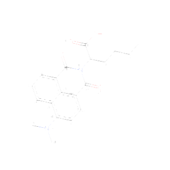 CCCCC(C(=O)O)N1C(=O)c2cccc3c(N(C)C)ccc(c23)C1=O